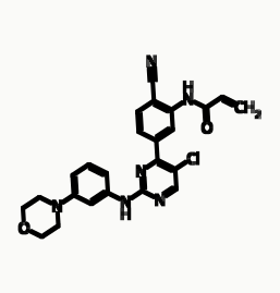 C=CC(=O)Nc1cc(-c2nc(Nc3cccc(N4CCOCC4)c3)ncc2Cl)ccc1C#N